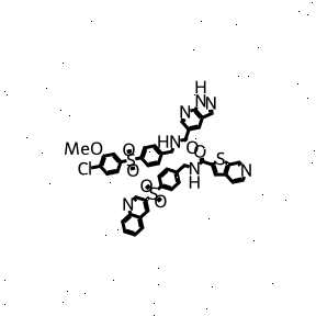 COc1cc(S(=O)(=O)c2ccc(CNC(=O)c3cnc4[nH]ncc4c3)cc2)ccc1Cl.O=C(NCc1ccc(S(=O)(=O)c2cnc3ccccc3c2)cc1)c1cc2ccncc2s1